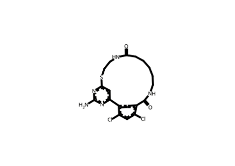 Nc1nc2cc(n1)-c1cc(c(Cl)cc1Cl)C(=O)NCCCCCC(=O)NCCS2